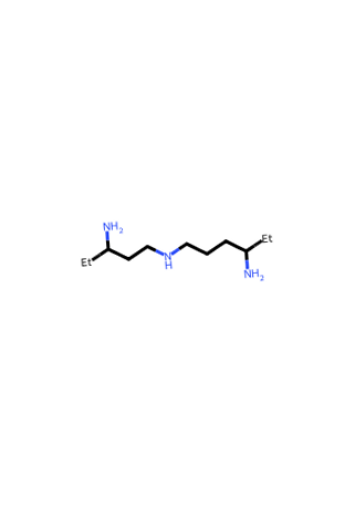 CCC(N)CCCNCCC(N)CC